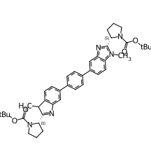 CC1C([C@@H]2CCCN2C(=O)OC(C)(C)C)=Nc2cc(-c3ccc(-c4ccc5c(c4)nc([C@@H]4CCCN4C(=O)OC(C)(C)C)n5C)cc3)ccc21